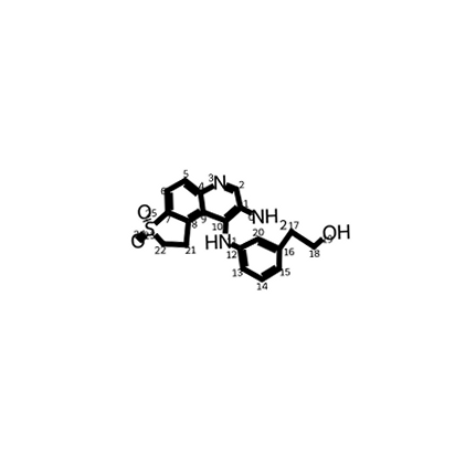 Nc1cnc2ccc3c(c2c1Nc1cccc(CCO)c1)CCS3(=O)=O